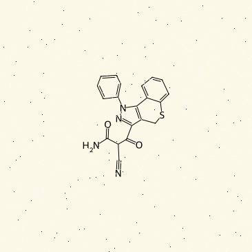 N#CC(C(N)=O)C(=O)c1nn(-c2ccccc2)c2c1CSc1ccccc1-2